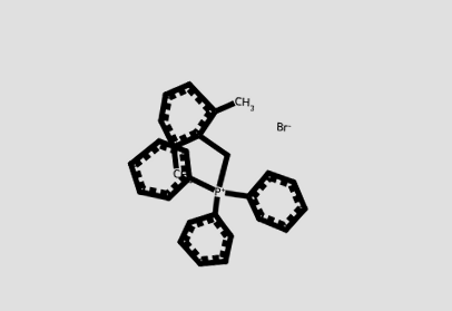 Cc1cccc(C)c1C[P+](c1ccccc1)(c1ccccc1)c1ccccc1.[Br-]